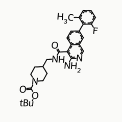 Cc1cccc(F)c1-c1ccc2c(C(=O)NCC3CCN(C(=O)OC(C)(C)C)CC3)c(N)ncc2c1